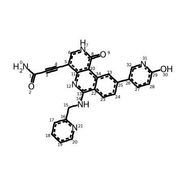 NC(=O)C#Cc1c[nH]c(=O)c2c1nc(NCc1ccccn1)c1ccc(-c3ccc(O)nc3)cc12